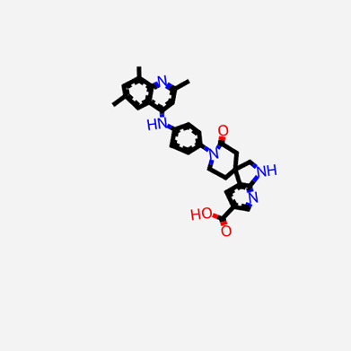 Cc1cc(C)c2nc(C)cc(Nc3ccc(N4CCC5(CNc6ncc(C(=O)O)cc65)CC4=O)cc3)c2c1